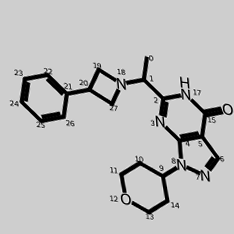 CC(c1nc2c(cnn2C2CCOCC2)c(=O)[nH]1)N1CC(c2ccccc2)C1